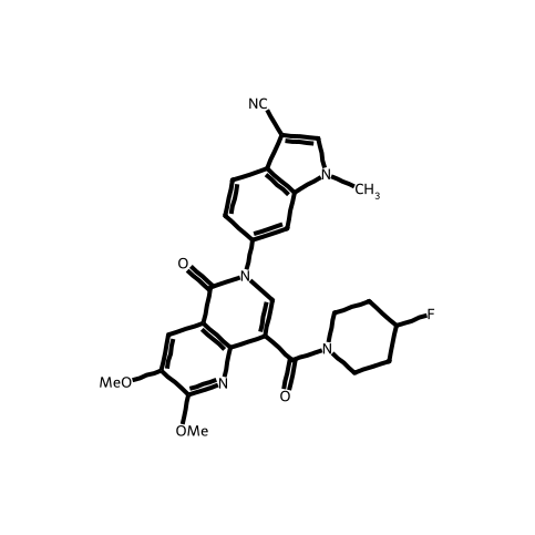 COc1cc2c(=O)n(-c3ccc4c(C#N)cn(C)c4c3)cc(C(=O)N3CCC(F)CC3)c2nc1OC